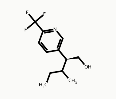 CCC(C)[C@H](CO)c1ccc(C(F)(F)F)nc1